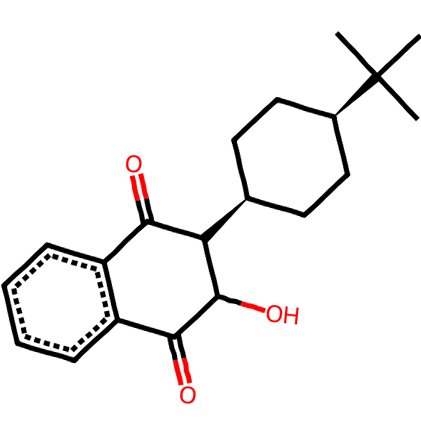 CC(C)(C)[C@H]1CC[C@@H](C2C(=O)c3ccccc3C(=O)C2O)CC1